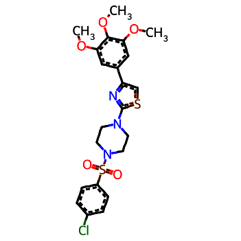 COc1cc(-c2csc(N3CCN(S(=O)(=O)c4ccc(Cl)cc4)CC3)n2)cc(OC)c1OC